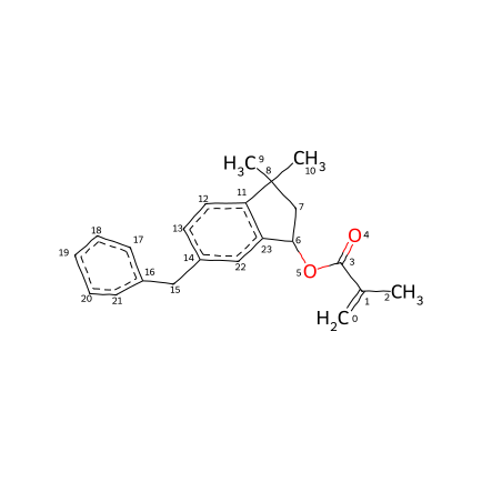 C=C(C)C(=O)OC1CC(C)(C)c2ccc(Cc3ccccc3)cc21